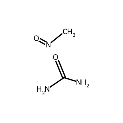 CN=O.NC(N)=O